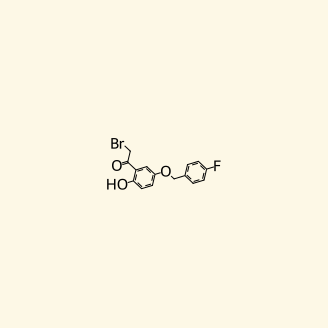 O=C(CBr)c1cc(OCc2ccc(F)cc2)ccc1O